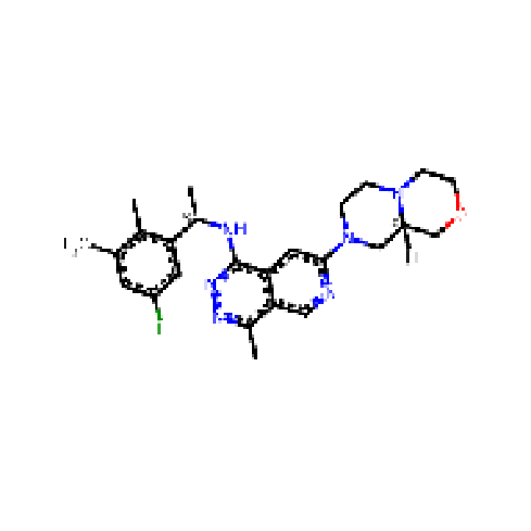 Cc1c([C@@H](C)Nc2nnc(C)c3cnc(N4CCN5CCOC[C@@H]5C4)cc23)cc(F)cc1C(F)(F)F